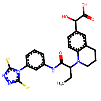 CCC(C(=O)Nc1cccc(-n2c(S)nnc2S)c1)N1CCCc2cc(C(O)C(=O)O)ccc21